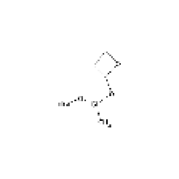 CCCCO[SiH](C)OC1CCO1